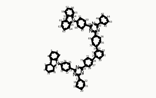 C1=CC2c3ccccc3N(c3ccc(-c4nc(-c5ccccc5)nc(-c5ccc(-c6cccc(-c7ccc(-c8nc(-c9ccccc9)nc(-c9ccc(-n%10c%11ccccc%11c%11ccccc%11%10)cc9)n8)cc7)c6)cc5)n4)cc3)C2C=C1